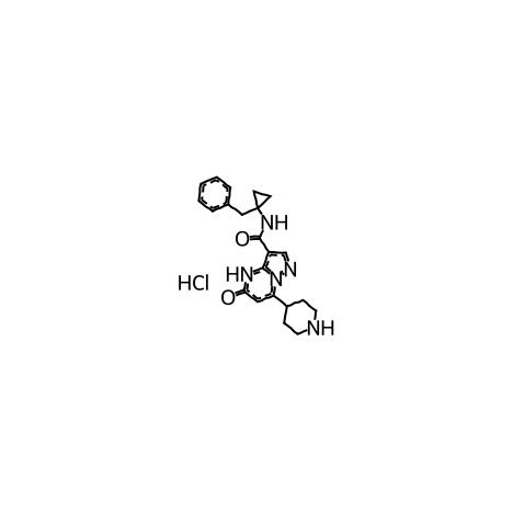 Cl.O=C(NC1(Cc2ccccc2)CC1)c1cnn2c(C3CCNCC3)cc(=O)[nH]c12